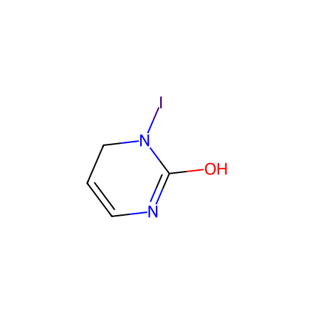 OC1=NC=CCN1I